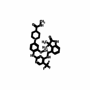 CNC(=O)C1CCN(c2ccc(Nc3ncc(C(F)(F)F)c(NCc4cccc5c4C(C)(C)C(=O)N5)n3)c(OC)c2)CC1